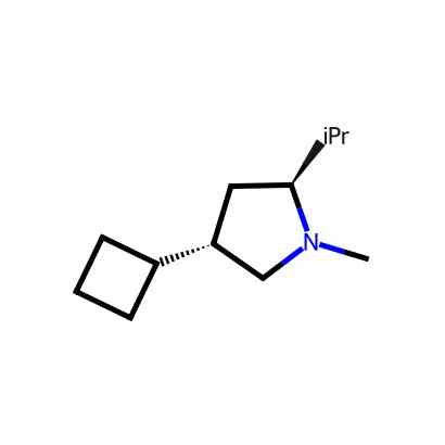 CC(C)[C@@H]1C[C@@H](C2CCC2)CN1C